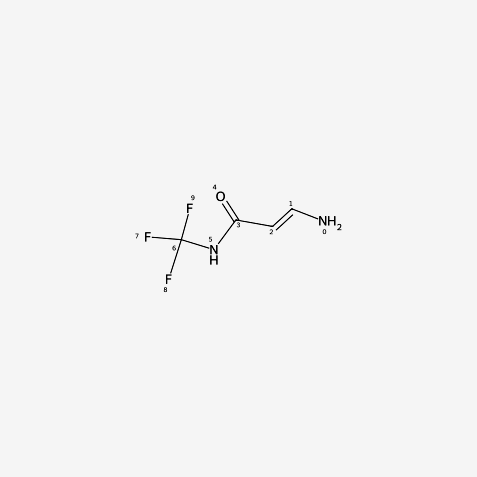 NC=CC(=O)NC(F)(F)F